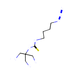 [N-]=[N+]=NCCCCNC(=S)NC(CN)(CN)CN